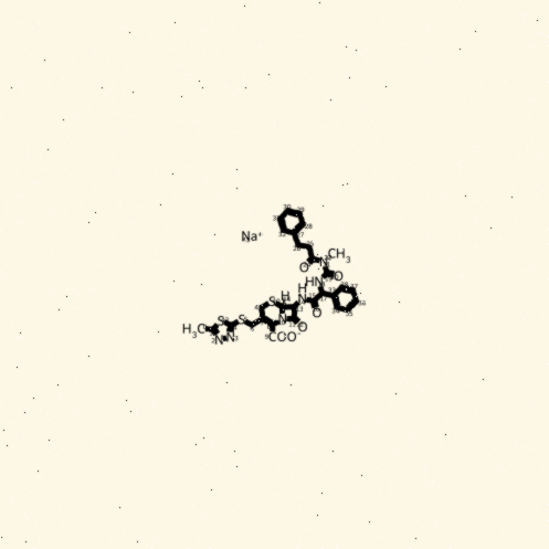 Cc1nnc(SCC2=C(C(=O)[O-])N3C(=O)C(NC(=O)C(NC(=O)N(C)C(=O)CCc4ccccc4)c4ccccc4)[C@@H]3SC2)s1.[Na+]